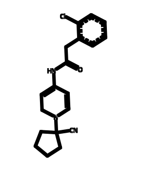 N#CC1(N2C=CC(NC(=O)Cc3ccccc3Cl)=CC2)CCCC1